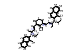 CCN(/C(C)=C/C=C1\CCCC(/C=C/C(C)=[N+](\CC)c2ccc3ccccc3c2C)=C1Cl)c1ccc2ccccc2c1C